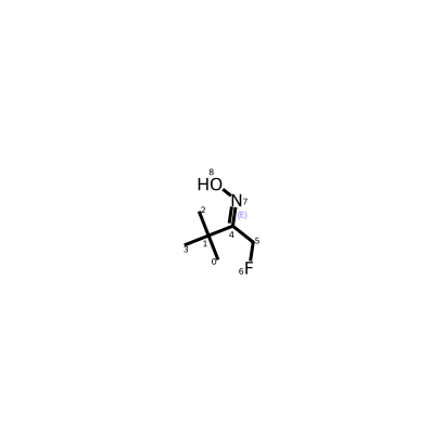 CC(C)(C)/C(CF)=N\O